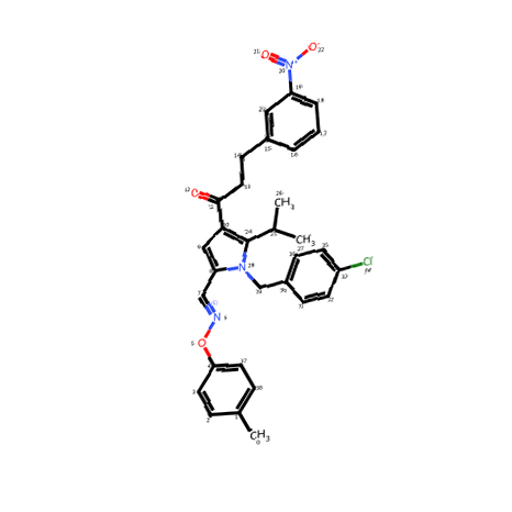 Cc1ccc(O/N=C/c2cc(C(=O)CCc3cccc([N+](=O)[O-])c3)c(C(C)C)n2Cc2ccc(Cl)cc2)cc1